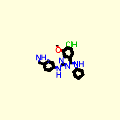 COc1cccc2c(Nc3ccccc3)nc(Nc3ccc(CN)cc3)nc12.Cl